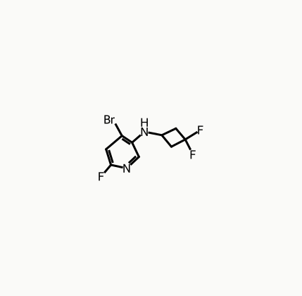 Fc1cc(Br)c(NC2CC(F)(F)C2)cn1